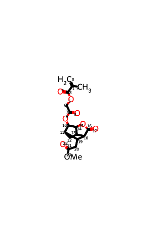 C=C(C)C(=O)OCC(=O)OC1C2CC3C1OC(=O)C3C2CC(=O)OC